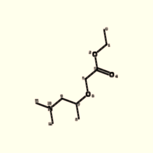 CCOC(=O)COC(C)CN(C)C